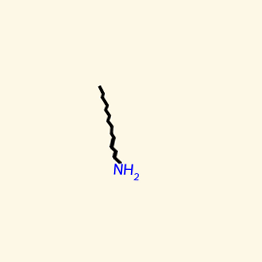 CCCCCCCCC/C=C/C=C/CN